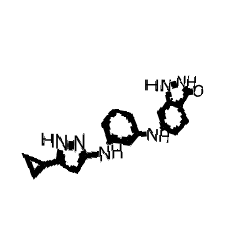 O=c1[nH][nH]c2cc(Nc3cccc(Nc4cc(C5CC5)[nH]n4)c3)ccc12